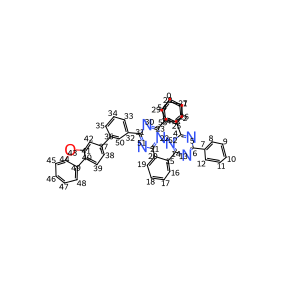 c1ccc(-c2nc(-c3ccccc3)nc(-c3ccccc3-c3nc(-c4ccccc4)nc(-c4cccc(-c5ccc6c(c5)oc5ccccc56)c4)n3)n2)cc1